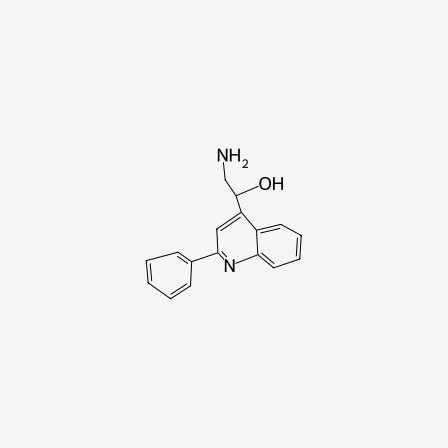 NCC(O)c1cc(-c2ccccc2)nc2ccccc12